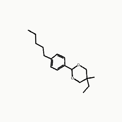 CCCCCc1ccc(C2OCC(C)(CC)CO2)cc1